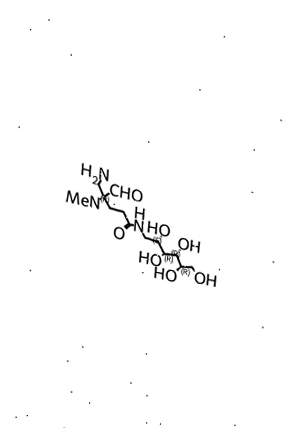 CN[C@@](C=O)(CN)CCC(=O)NC[C@H](O)[C@@H](O)[C@H](O)[C@H](O)CO